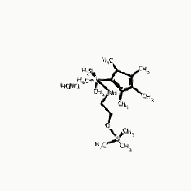 CC1=C(C)C(C)[C]([Ti]([CH3])([CH3])(=[SiH2])[NH]CCO[Si](C)(C)C)=C1C.Cl.Cl